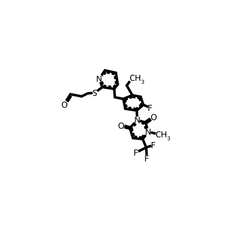 CCc1cc(F)c(-n2c(=O)cc(C(F)(F)F)n(C)c2=O)cc1Cc1cccnc1SCCC=O